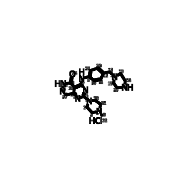 CN1CCN(c2nc(Nc3ccc(CN4CCNCC4)cc3)c3c(=O)[nH]ncc3n2)CC1.Cl